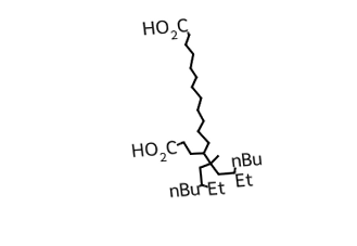 CCCCC(CC)CC(C)(CC(CC)CCCC)C(CCCCCCCCCCCC(=O)O)CCC(=O)O